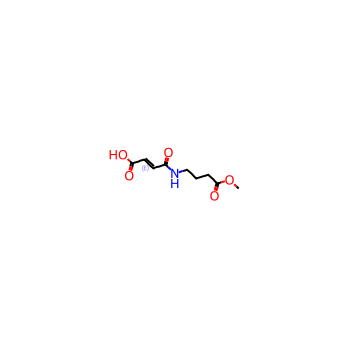 COC(=O)CCCNC(=O)/C=C/C(=O)O